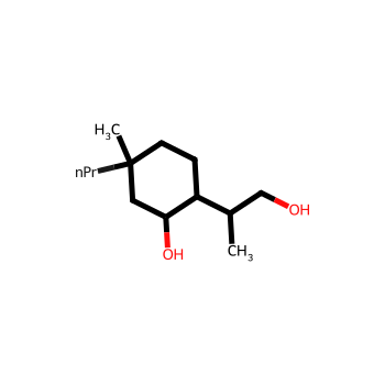 CCCC1(C)CCC(C(C)CO)C(O)C1